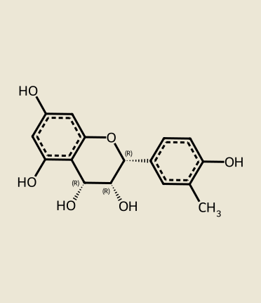 Cc1cc([C@H]2Oc3cc(O)cc(O)c3[C@@H](O)[C@H]2O)ccc1O